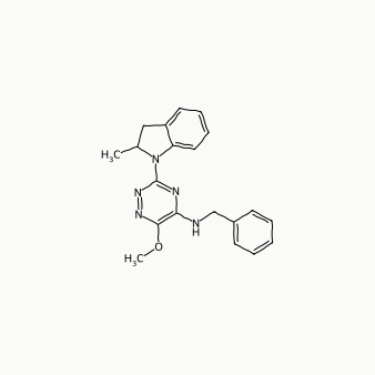 COc1nnc(N2c3ccccc3CC2C)nc1NCc1ccccc1